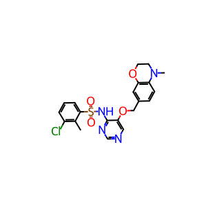 Cc1c(Cl)cccc1S(=O)(=O)Nc1ncncc1OCc1ccc2c(c1)OCCN2C